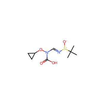 CC(C)(C)[S+]([O-])N=CN(OC1CC1)C(=O)O